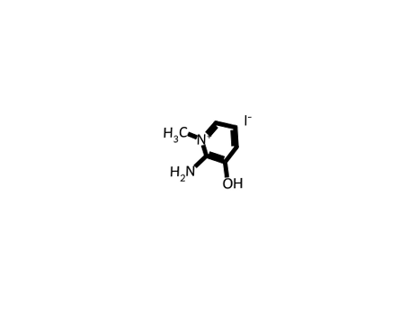 C[n+]1cccc(O)c1N.[I-]